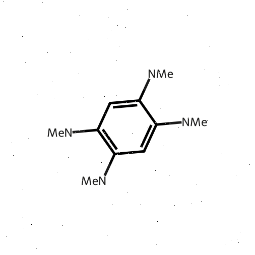 CNc1cc(NC)c(NC)cc1NC